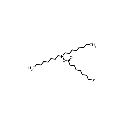 CCCCCCCCN(CCCCCCCC)OC(=O)CCCCCCCBr